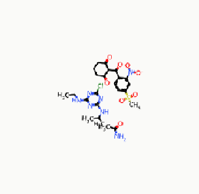 CC(N)=O.CCNc1nc(Cl)nc(NC(C)C)n1.CS(=O)(=O)c1ccc(C(=O)C2C(=O)CCCC2=O)c([N+](=O)[O-])c1